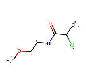 COCCNC(=O)C(C)Cl